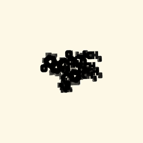 CSCC[C@H](NC(=O)OC(C)(C)C)C(=O)NCc1c(O[C@H](Cn2ccnc2)c2ccccc2)ccc2c1CCCC2=O